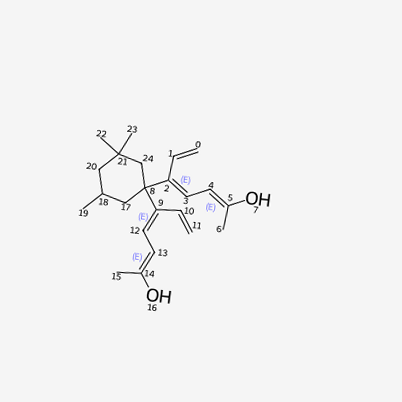 C=C/C(=C\C=C(/C)O)C1(/C(C=C)=C/C=C(\C)O)CC(C)CC(C)(C)C1